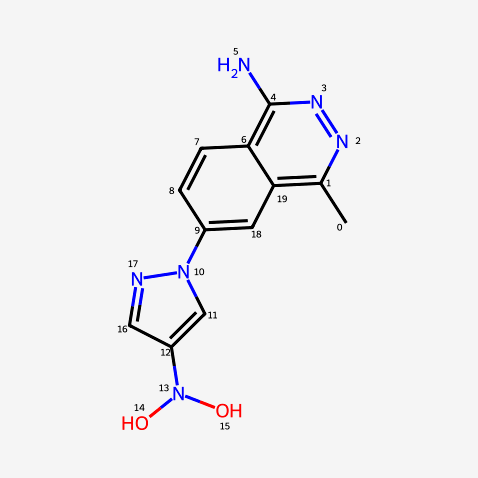 Cc1nnc(N)c2ccc(-n3cc(N(O)O)cn3)cc12